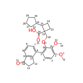 COc1ccc(-c2cccc3c2CCC3=O)c(OCC2(C(=O)O)CCC2C2CCCC2)c1OC